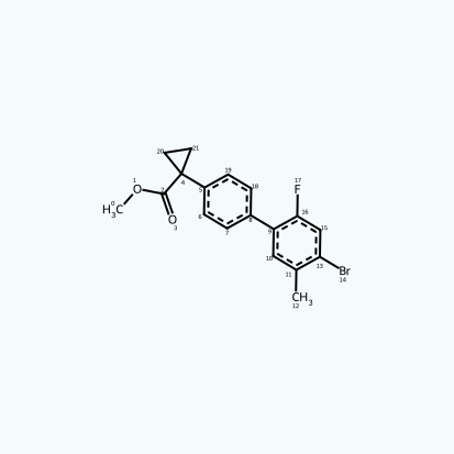 COC(=O)C1(c2ccc(-c3cc(C)c(Br)cc3F)cc2)CC1